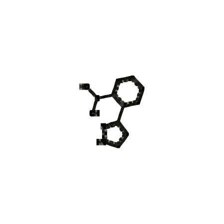 OB(O)c1ccccc1-c1cc[nH]n1